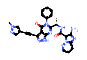 C[C@H](NC(=O)c1c(N)nc2cccnn12)c1nc2[nH]nc(C#Cc3cnn(C)c3)c2c(=O)n1-c1ccccc1